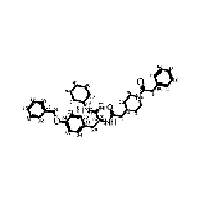 O=C(CC1CCN(C(=O)Cc2ccccc2)CC1)N[C@@H](Cc1ccc(OCc2ccccc2)cc1)C(=O)NC1CCCCC1